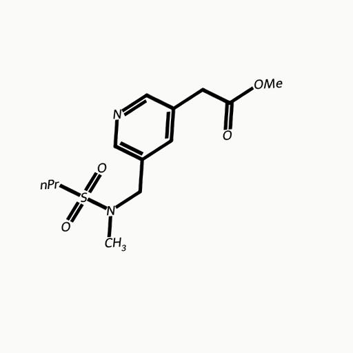 CCCS(=O)(=O)N(C)Cc1cncc(CC(=O)OC)c1